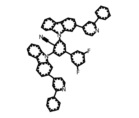 N#Cc1c(-n2c3ccccc3c3ccc(-c4ccnc(-c5ccccc5)c4)cc32)cc(-c2cc(F)cc(F)c2)cc1-n1c2ccccc2c2ccc(-c3ccnc(-c4ccccc4)c3)cc21